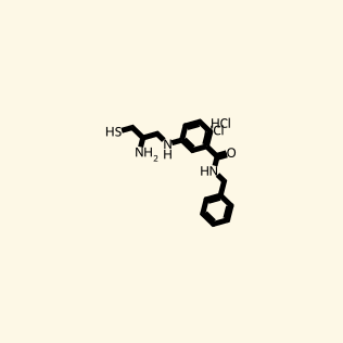 Cl.Cl.NC(CS)CNc1cccc(C(=O)NCc2ccccc2)c1